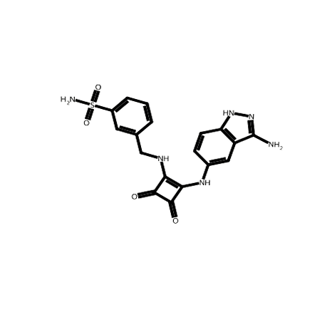 Nc1n[nH]c2ccc(Nc3c(NCc4cccc(S(N)(=O)=O)c4)c(=O)c3=O)cc12